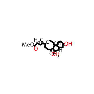 COC(=O)CC[C@@H](C)C1CCCC2C(C(C)CC1)C(O)C[C@@H]1C[C@H](O)CC[C@]21C